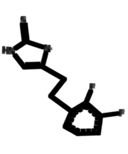 Fc1cccc(CCC2=CNC(=S)[N]2)c1F